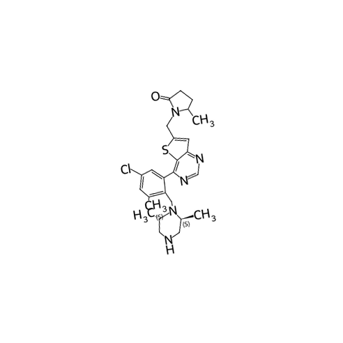 Cc1cc(Cl)cc(-c2ncnc3cc(CN4C(=O)CCC4C)sc23)c1CN1[C@@H](C)CNC[C@@H]1C